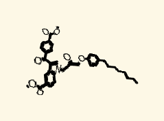 CCCCCCCCc1ccc(OCC(=O)Cn2cc(C(=O)c3ccc(C(=O)OC)cc3)c3cc(C(=O)OC)ccc32)cc1